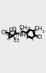 CC[C@]1(C(=O)N[C@H](C)c2ccc(Cl)c(C)c2)CC1(Cl)Cl